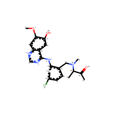 COc1cc2ncnc(Nc3cc(Cl)ccc3CN(C)C(C)C(C)=O)c2cc1O